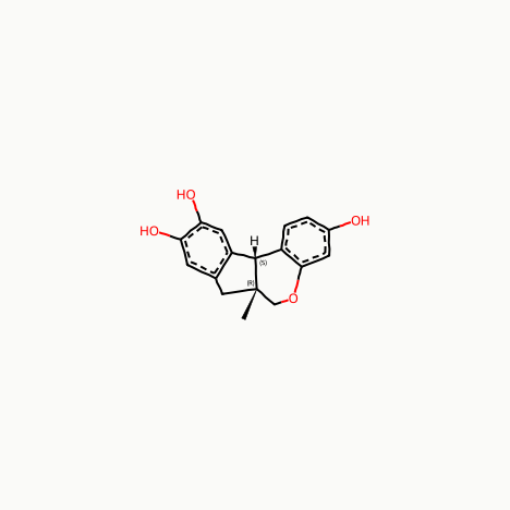 C[C@]12COc3cc(O)ccc3[C@H]1c1cc(O)c(O)cc1C2